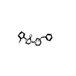 O=C1N(c2ccccc2F)CCN1N1CCC[C@H](Cc2ccccc2)C1